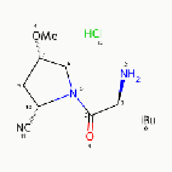 CC[C@H](C)[C@H](N)C(=O)N1C[C@@H](OC)C[C@H]1C#N.Cl